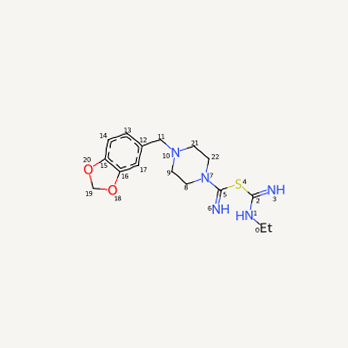 CCNC(=N)SC(=N)N1CCN(Cc2ccc3c(c2)OCO3)CC1